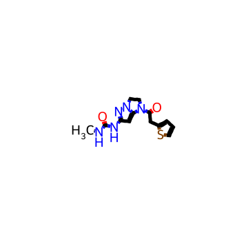 CNC(=O)Nc1cc2n(n1)CCN2C(=O)Cc1cccs1